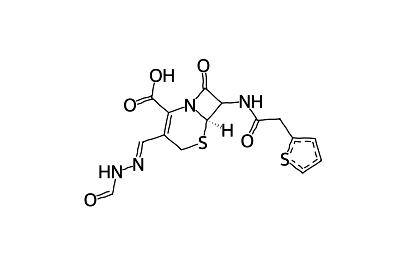 O=CN/N=C/C1=C(C(=O)O)N2C(=O)C(NC(=O)Cc3cccs3)[C@H]2SC1